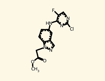 COC(=O)Cn1ncc2cc(Nc3nc(Cl)ncc3F)ccc21